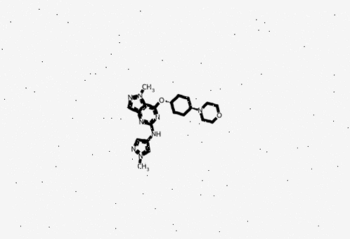 Cn1cc(Nc2nc(O[C@H]3CC[C@H](N4CCOCC4)CC3)c3c(cnn3C)n2)cn1